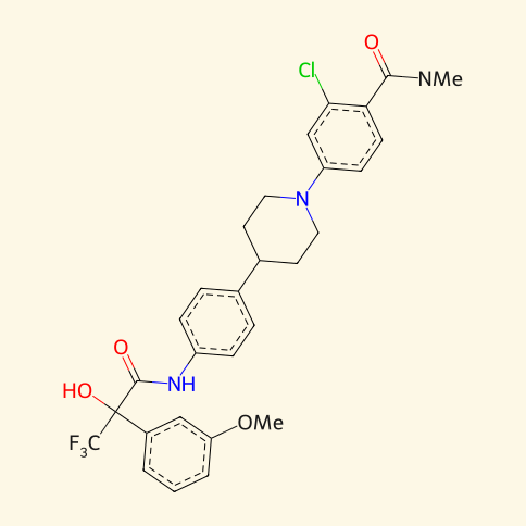 CNC(=O)c1ccc(N2CCC(c3ccc(NC(=O)C(O)(c4cccc(OC)c4)C(F)(F)F)cc3)CC2)cc1Cl